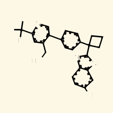 OCc1cc(C(F)(F)F)ncc1-c1ccc(C2(c3nc4ccc(Cl)cc4[nH]3)CCC2)cc1